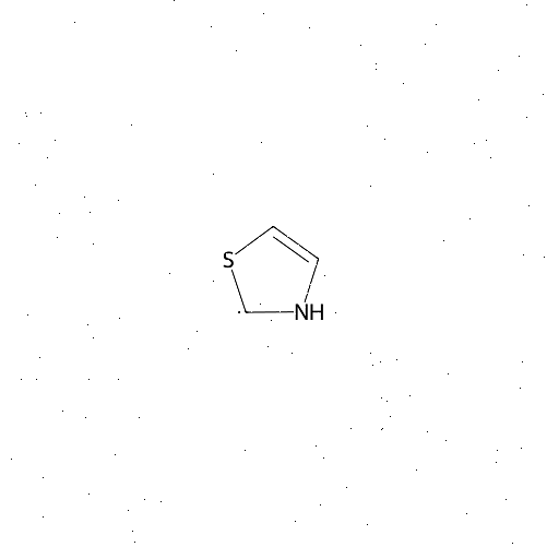 [CH]1NC=CS1